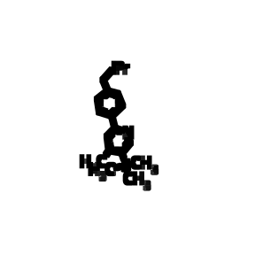 Cc1cc(-c2ccc(CC(C)C)cc2)ncc1S(C)(C)C